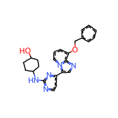 OC1CCC(Nc2nccc(-c3cnc4c(OCc5ccccc5)cccn34)n2)CC1